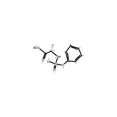 CC(C)COC(=O)[C@H](C)NP(=O)(Cl)Oc1ccccc1